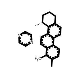 Cc1ccc2c(ccc3c4c(ccc32)CCC[C@H]4C)c1C(F)(F)F.c1cnccn1